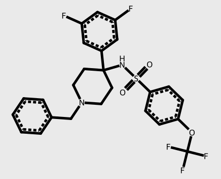 O=S(=O)(NC1(c2cc(F)cc(F)c2)CCN(Cc2ccccc2)CC1)c1ccc(OC(F)(F)F)cc1